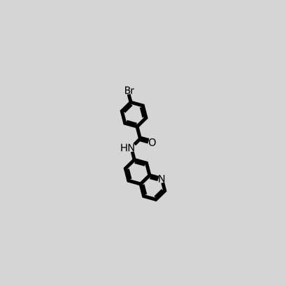 O=C(Nc1ccc2cccnc2c1)c1ccc(Br)cc1